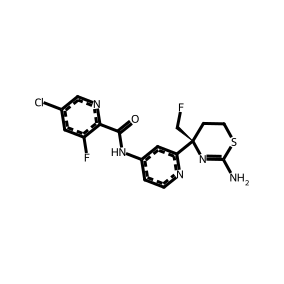 NC1=N[C@](CF)(c2cc(NC(=O)c3ncc(Cl)cc3F)ccn2)CCS1